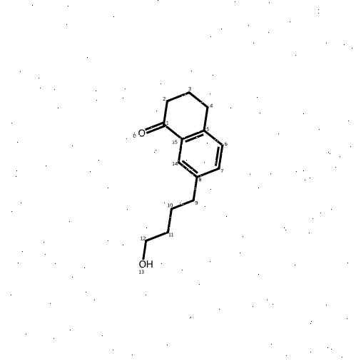 O=C1CCCc2ccc(CCCCO)cc21